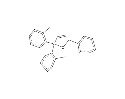 C=C[Si](OCc1ccccc1)(c1ccccc1C)c1ccccc1C